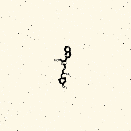 NC(CCc1nc(CO)c(-c2ccc3cnccc3c2)s1)Cc1ccc(C(F)(F)F)cc1